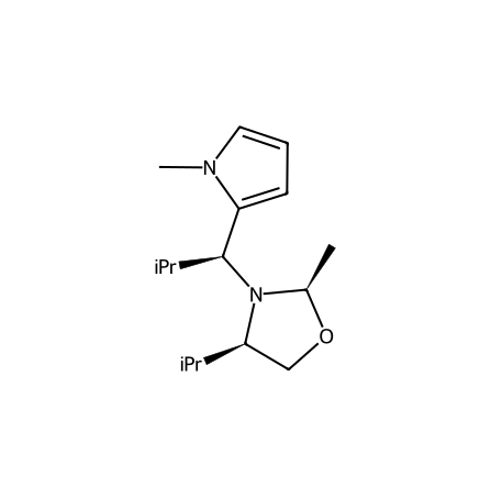 CC(C)[C@@H](c1cccn1C)N1[C@@H](C)OC[C@H]1C(C)C